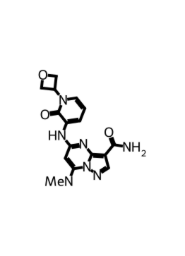 CNc1cc(Nc2cccn(C3COC3)c2=O)nc2c(C(N)=O)cnn12